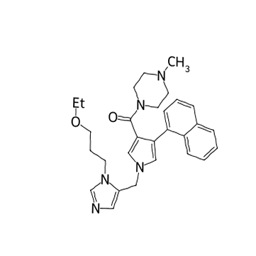 CCOCCCn1cncc1Cn1cc(C(=O)N2CCN(C)CC2)c(-c2cccc3ccccc23)c1